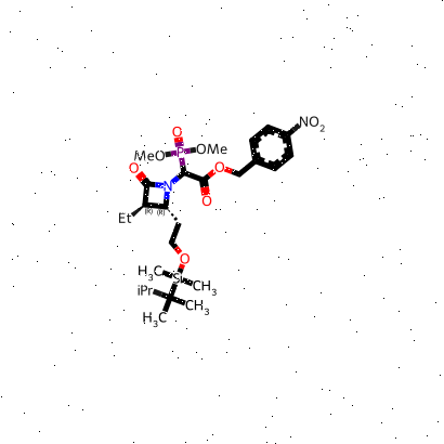 CC[C@H]1C(=O)N(C(C(=O)OCc2ccc([N+](=O)[O-])cc2)P(=O)(OC)OC)[C@@H]1CCO[Si](C)(C)C(C)(C)C(C)C